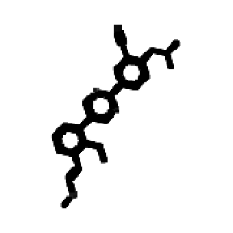 CCc1c(C=COC)cccc1-c1cnc(-c2ccc(CC(C)C)c(C#N)c2)nc1